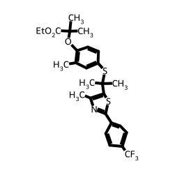 CCOC(=O)C(C)(C)Oc1ccc(SC(C)(C)c2sc(-c3ccc(C(F)(F)F)cc3)nc2C)cc1C